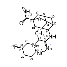 CC(/C(=N\C#N)NC1C2CC3CC1CC(C(N)=O)(C3)C2)N1CCC[C@@H](F)C1